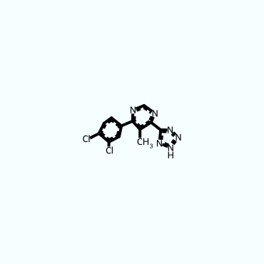 Cc1c(-c2ccc(Cl)c(Cl)c2)ncnc1-c1nn[nH]n1